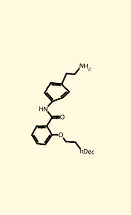 CCCCCCCCCCCCOc1ccccc1C(=O)Nc1ccc(CCN)cc1